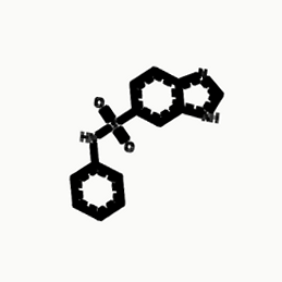 O=S(=O)(Nc1ccccc1)c1ccc2nc[nH]c2c1